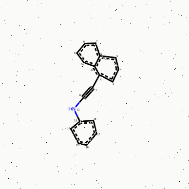 C(#Cc1cccc2ccccc12)Nc1ccccc1